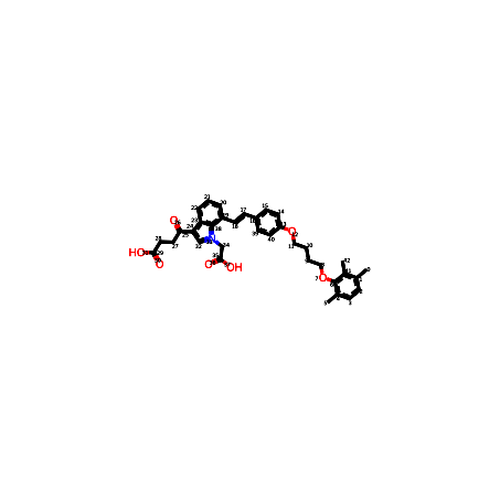 Cc1ccc(C)c(OCCCCOc2ccc(C=Cc3cccc4c(C(=O)CCC(=O)O)cn(CC(=O)O)c34)cc2)c1C